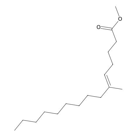 CCCCCCCCCC(C)=CCCCC(=O)OC